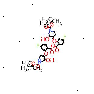 CC(C)(C)OC(=O)N1CC[C@H](Oc2cc(F)ccc2C(=O)OC(=O)c2ccc(F)cc2O[C@@H]2CCN(C(=O)OC(C)(C)C)C[C@@H]2O)[C@H](O)C1